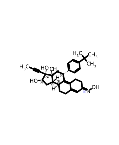 CC#C[C@]1(O)[C@H](O)C[C@H]2[C@@H]3CCC4=C/C(=N/O)CCC4=C3[C@@H](c3ccc(C(C)(C)C)cc3)C[C@@]21C